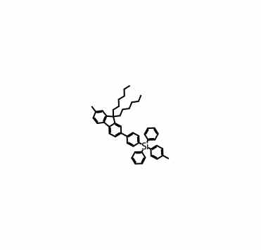 CCCCCCC1(CCCCCC)c2cc(C)ccc2-c2ccc(-c3ccc([Si](c4ccccc4)(c4ccccc4)c4ccc(C)cc4)cc3)cc21